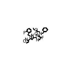 CCOC(=O)CN(Cc1ccccc1)c1nc(-c2cc(-c3ccon3)n(Cc3ccccc3F)n2)ncc1F